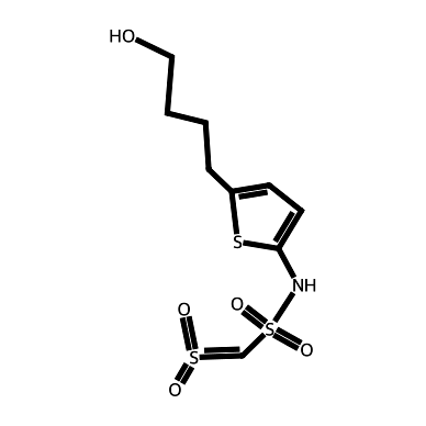 O=S(=O)=CS(=O)(=O)Nc1ccc(CCCCO)s1